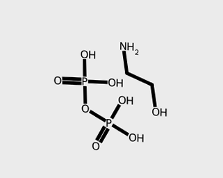 NCCO.O=P(O)(O)OP(=O)(O)O